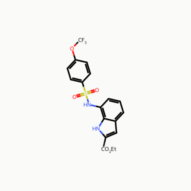 CCOC(=O)c1cc2cccc(NS(=O)(=O)c3ccc(OC(F)(F)F)cc3)c2[nH]1